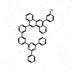 N#Cc1cccc(-c2cc3c4ccccc4c(-c4cncc(-c5cccc(-c6nc(-c7ccccc7)nc(-c7ccccc7)n6)c5)c4)cc3c3cccnc23)c1